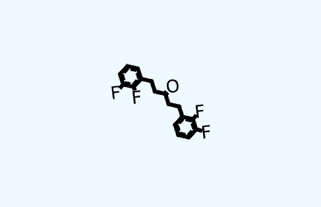 O=C(CCc1cccc(F)c1F)CCc1cccc(F)c1F